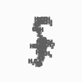 Cc1ncsc1-c1ccc(C(C)NC(=O)[C@@H]2C[C@@H](O)CN2C(=O)C(NC(=O)CCCCCNC(=O)[C@@H]2CCN(C(=O)OC(C)(C)C)C2)C(C)(C)C)cc1